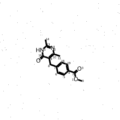 COC(=O)c1ccc(Cc2c(C)nc(C)[nH]c2=O)cc1